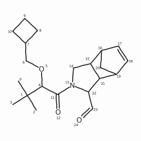 CC(C)(C)C(OCC1CCC1)C(=O)N1CC2C3C=CC(C3)C2C1C=O